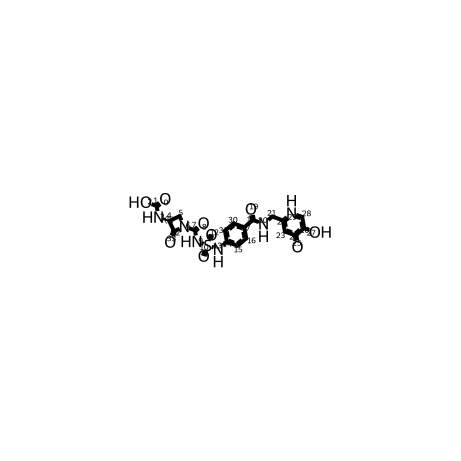 O=C(O)N[C@H]1CN(C(=O)NS(=O)(=O)Nc2ccc(C(=O)NCc3cc(=O)c(O)c[nH]3)cc2)C1=O